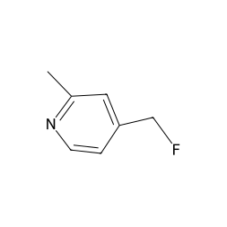 Cc1cc(CF)ccn1